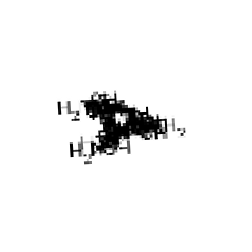 NCC(O)C(O)c1c(F)c(F)c(C2=C3C=CC(=N3)C(c3c(F)c(F)c(C(O)C(O)CN)c(F)c3F)=C3C=CC(=N3)c3ccc([nH]3)C(c3c(F)c(F)c(C(O)C(O)CN)c(F)c3F)=C3C=CC2=N3)c(F)c1F